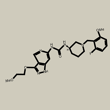 COCCOc1n[nH]c2cc(NC(=O)N[C@@H]3CCCN(Cc4c(F)cccc4OC)C3)ncc12